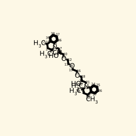 CC1CC(C)(C)N(CC(O)COCCOCCOCC(O)CN2c3ccccc3C(C)CC2(C)C)c2ccccc21